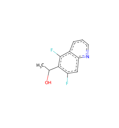 CC(O)c1c(F)cc2ncccc2c1F